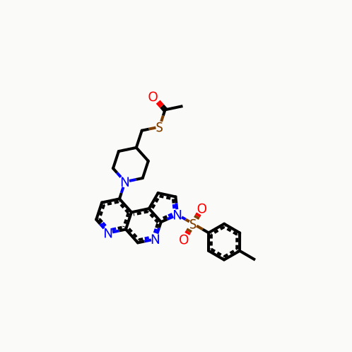 CC(=O)SCC1CCN(c2ccnc3cnc4c(ccn4S(=O)(=O)c4ccc(C)cc4)c23)CC1